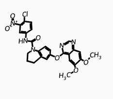 COc1cc2ncnc(Oc3ccc4c(c3)CCCN4C(=O)Nc3ccc(Cl)c([N+](=O)[O-])c3)c2cc1OC